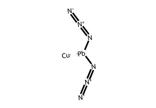 [Cu].[N-]=[N+]=[N][Pb][N]=[N+]=[N-]